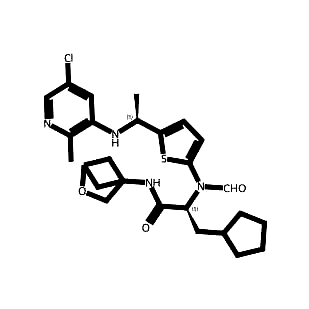 Cc1ncc(Cl)cc1N[C@@H](C)c1ccc(N(C=O)[C@@H](CC2CCCC2)C(=O)NC23COC(C2)C3)s1